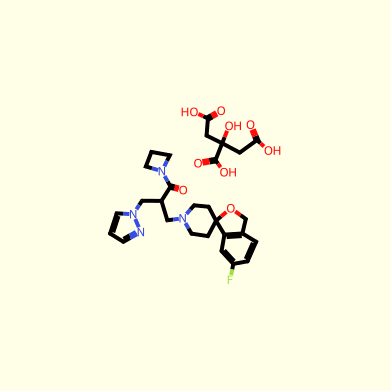 O=C(C(CN1CCC2(CC1)OCc1ccc(F)cc12)Cn1cccn1)N1CCC1.O=C(O)CC(O)(CC(=O)O)C(=O)O